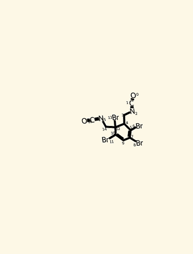 O=C=NCC1C(Br)=C(Br)C=C(Br)C1(Br)CN=C=O